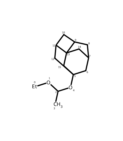 CCOC(C)OC12CC3CC4CC(C1)C4(C3)C2